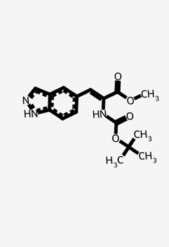 COC(=O)/C(=C/c1ccc2[nH]ncc2c1)NC(=O)OC(C)(C)C